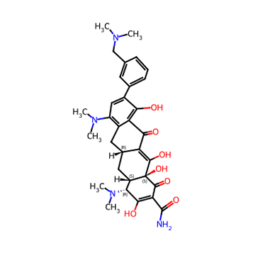 CN(C)Cc1cccc(-c2cc(N(C)C)c3c(c2O)C(=O)C2=C(O)[C@]4(O)C(=O)C(C(N)=O)=C(O)[C@H](N(C)C)[C@@H]4C[C@@H]2C3)c1